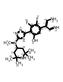 CN(c1nnc(-c2c(O)cc(/C(C=N)=C/N)c(F)c2F)s1)C1CC(C)(C)NC(C)(C)C1